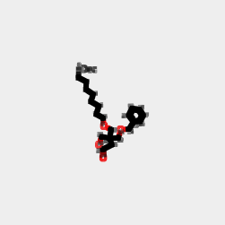 CCCCCCCCCCCCCCCCCCOCC1(COCc2ccccc2)COC(=O)C1